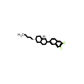 CCCCC[C@@H]1CC[C@@H]2CC(c3ccc4cc(F)c(F)cc4c3)CCC2C1